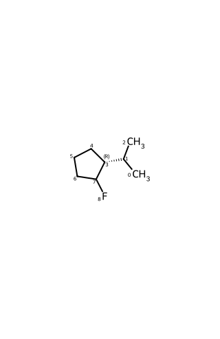 CC(C)[C@H]1CCCC1F